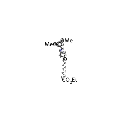 CCOC(=O)CCCCCCCCCOc1ccc(/C=C/c2cc(OC)cc(OC)c2)cc1